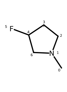 CN1C[CH]C(F)C1